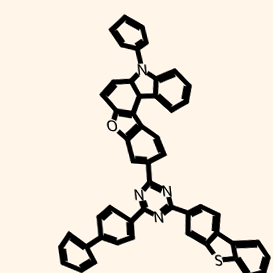 C1=CC2C(c3ccccc3N2c2ccccc2)c2c1oc1cc(-c3nc(-c4ccc(-c5ccccc5)cc4)nc(-c4ccc5c(c4)sc4ccccc45)n3)ccc21